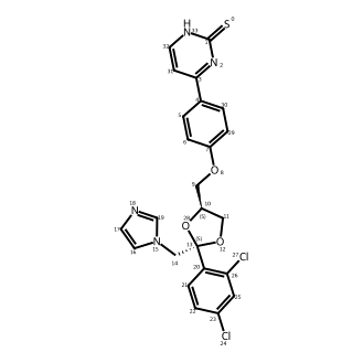 S=c1nc(-c2ccc(OC[C@H]3CO[C@@](Cn4ccnc4)(c4ccc(Cl)cc4Cl)O3)cc2)cc[nH]1